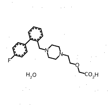 O.O=C(O)COCCN1CCN(Cc2ccccc2-c2ccc(F)cc2)CC1